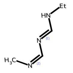 CCN/C=N/C=N\C